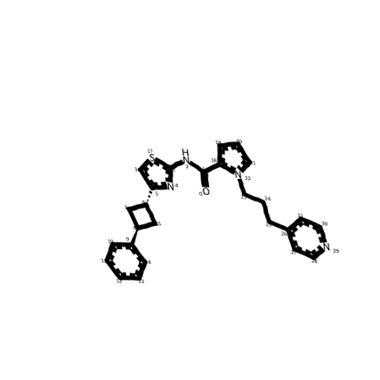 O=C(Nc1nc([C@H]2C[C@H](c3ccccc3)C2)cs1)c1cccn1CCCc1ccncc1